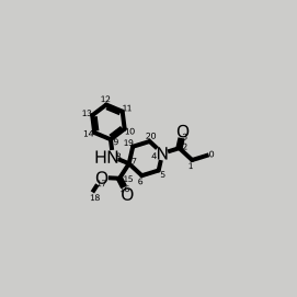 CCC(=O)N1CCC(Nc2ccccc2)(C(=O)OC)CC1